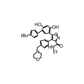 CCNC(=O)c1noc(-c2cc(-c3ccc(C(C)(C)C)cc3)c(O)cc2O)c1-c1ccc(CN2CCOCC2)cc1